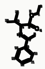 CCOC(=O)C(N=C(C)c1ccccc1)C(C)C